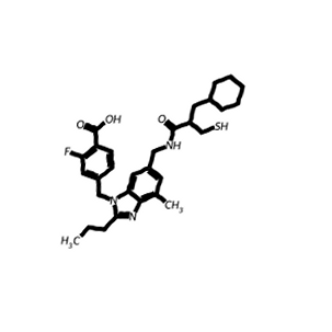 CCCc1nc2c(C)cc(CNC(=O)C(CS)CC3CCCCC3)cc2n1Cc1ccc(C(=O)O)c(F)c1